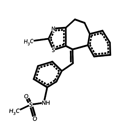 Cc1nc2c(s1)/C(=C\c1cccc(NS(C)(=O)=O)c1)c1ccccc1CC2